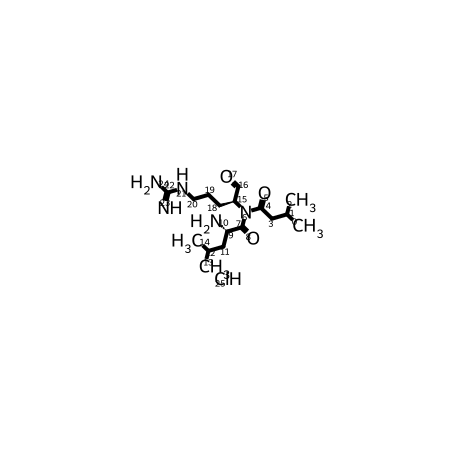 CC(C)CC(=O)N(C(=O)[C@@H](N)CC(C)C)[C@H](C=O)CCCNC(=N)N.Cl